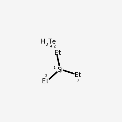 CC[Si](CC)CC.[TeH2]